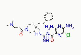 CN(C)CCC(=O)N1CCC(CCc2ccccc2)(CNC(=N)NC(=O)c2nc(Cl)c(N)nc2N)CC1